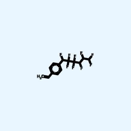 C=Cc1ccc(C(F)C(F)(F)C(F)(F)C(F)C(F)C(F)F)cc1